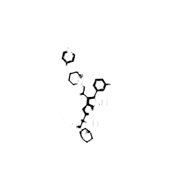 Cc1cc(C)cc(-c2[nH]c3sc(C(C)(C)C(=O)N4C5CCC4CC5)cc3c2C(=O)CN2CCC(Oc3ccncc3)CC2)c1